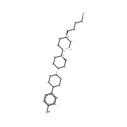 CCCc1ccc(C2CCC([C@H]3CC[C@H]([C@H]4CC[C@H](CCCCF)CC4)CC3)CC2)cc1